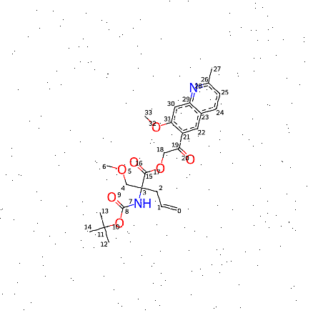 C=CCC(COC)(NC(=O)OC(C)(C)C)C(=O)OCC(=O)c1cc2ccc(C)nc2cc1OC